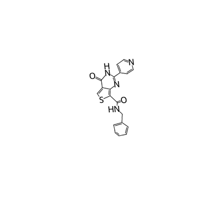 O=C(NCc1ccccc1)c1scc2c(=O)[nH]c(-c3ccncc3)nc12